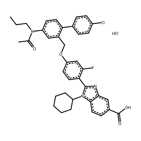 CCCN(C(C)=O)c1ccc(-c2ccc(Cl)cc2)c(COc2ccc(-c3nc4cc(C(=O)O)ccc4n3C3CCCCC3)c(F)c2)c1.Cl